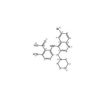 Nc1cccc(Nc2c(SN3CCOCC3)cnc3ccc(Br)cc23)c1C(=O)O